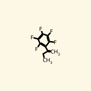 C=C(CC)c1c(F)c(F)c(F)c(F)c1F